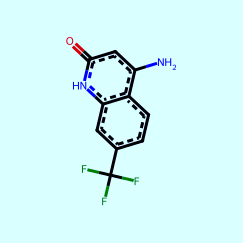 Nc1cc(=O)[nH]c2cc(C(F)(F)F)ccc12